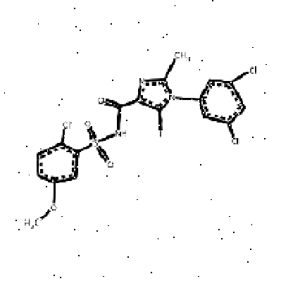 COc1ccc(Cl)c(S(=O)(=O)NC(=O)c2nc(C)n(-c3cc(Cl)cc(Cl)c3)c2I)c1